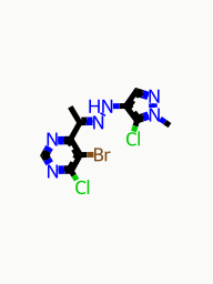 C/C(=N\Nc1cnn(C)c1Cl)c1ncnc(Cl)c1Br